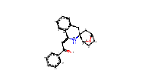 O=C(/C=C1\NC2(Cc3ccccc31)CC1CCC2O1)c1ccccc1